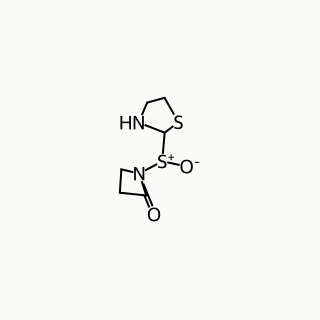 O=C1CCN1[S+]([O-])C1NCCS1